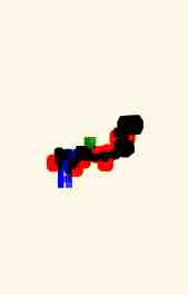 Cc1cn([C@H]2C[C@H](F)[C@@H](COC(=O)OCC3CCC[C@]4(C3)OCC3(O4)C4CC5CC(C4)CC3C5)O2)c(=O)[nH]c1=O